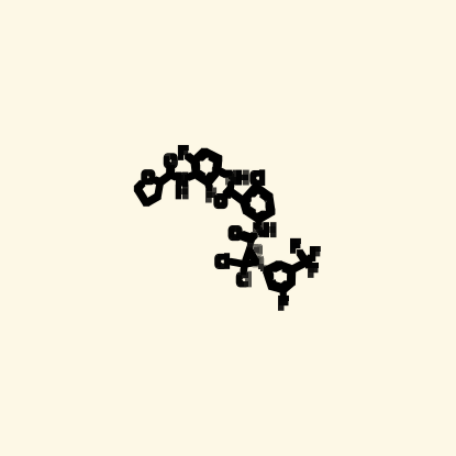 O=C(Nc1ccc(F)c(NC(=O)C2CCCO2)c1F)c1cc(NC(=O)[C@H]2[C@H](c3cc(F)cc(C(F)(F)F)c3)C2(Cl)Cl)ccc1Cl